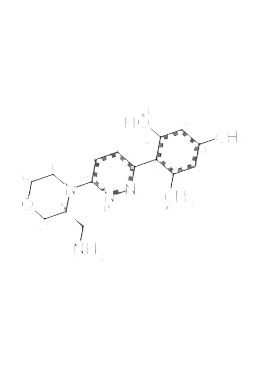 Cc1cc(C)c(-c2ccc(N3CCOC[C@@H]3CN)nn2)c(O)c1